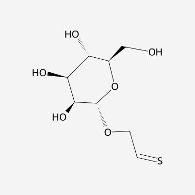 OC[C@H]1O[C@H](OCC=S)[C@@H](O)[C@@H](O)[C@@H]1O